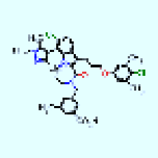 Cc1cc(CN2CCCn3c(c(CCCOc4cc(C)c(Cl)c(C)c4)c4ccc(Cl)c(-c5c(C)nn(C)c5C)c43)C2=O)cc(C(=O)O)c1